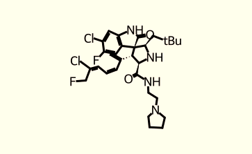 C=C(/C=C\C=C(\Cl)CF)[C@H]1[C@H](C(=O)NCCN2CCCC2)N[C@H](CC(C)(C)C)[C@]12C(=O)Nc1cc(Cl)c(F)cc12